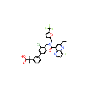 CCc1cc(C(=O)N(Cc2ccc(C(F)(F)F)o2)Cc2ccc(-c3cccc(C(C)(C)C(=O)O)c3)cc2Cl)c2nccc(F)c2n1